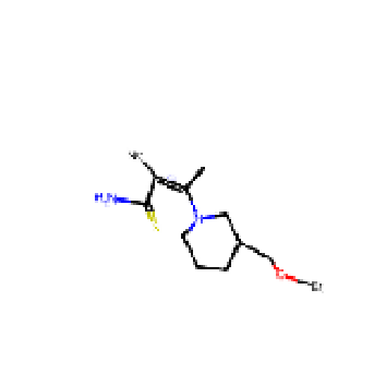 CCOCC1CCCN(/C(C)=C(/C#N)C(N)=S)C1